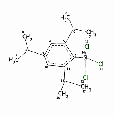 CC(C)c1cc(C(C)C)c([Si](Cl)(Cl)Cl)c(C(C)C)c1